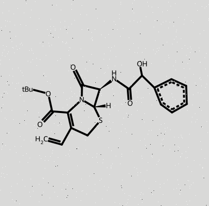 C=CC1=C(C(=O)OC(C)(C)C)N2C(=O)[C@@H](NC(=O)C(O)c3ccccc3)[C@@H]2SC1